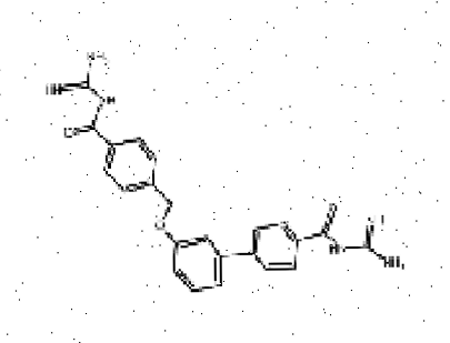 N=C(N)NC(=O)c1ccc(COc2cccc(-c3ccc(C(=O)NC(=N)N)cc3)c2)cc1